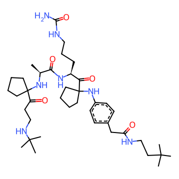 C[C@H](NC1(C(=O)CCNC(C)(C)C)CCCC1)C(=O)N[C@@H](CCCNC(N)=O)C(=O)C1(Nc2ccc(CC(=O)NCCC(C)(C)C)cc2)CCCC1